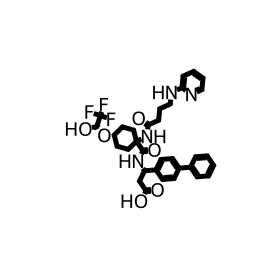 O=C(O)C(F)(F)F.O=C(O)CC(NC(=O)C1(NC(=O)CCCNc2ccccn2)CCCCC1)c1ccc(-c2ccccc2)cc1